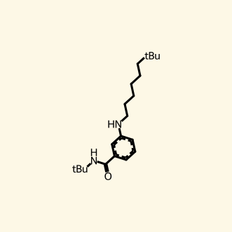 CC(C)(C)CCCCCCNc1cccc(C(=O)NC(C)(C)C)c1